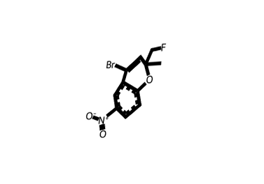 CC1(CF)C=C(Br)c2cc([N+](=O)[O-])ccc2O1